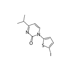 CC(C)c1ccn(-c2ccc(I)s2)c(=O)n1